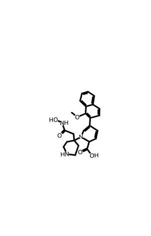 COc1c(C2=CN(C3(CC(=O)NO)CCNCC3)C(C(=O)O)C=C2)ccc2ccccc12